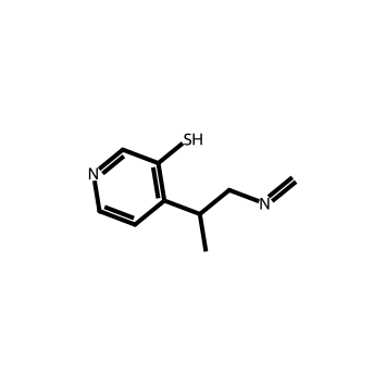 C=NCC(C)c1ccncc1S